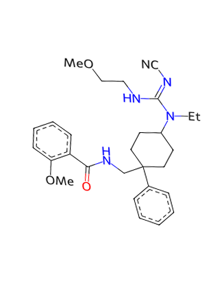 CCN(/C(=N/C#N)NCCOC)C1CCC(CNC(=O)c2ccccc2OC)(c2ccccc2)CC1